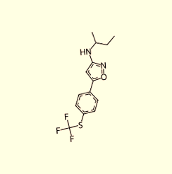 CCC(C)Nc1cc(-c2ccc(SC(F)(F)F)cc2)on1